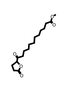 COC(=O)CCCCCCCCCCC(=O)C1CCC(=O)O1